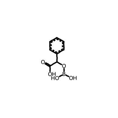 O=C(O)C(OB(O)O)c1ccccc1